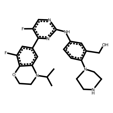 CC(C)N1CCOc2c(F)cc(-c3nc(Nc4ccc(N5CCNCC5)c(CO)c4)ncc3F)cc21